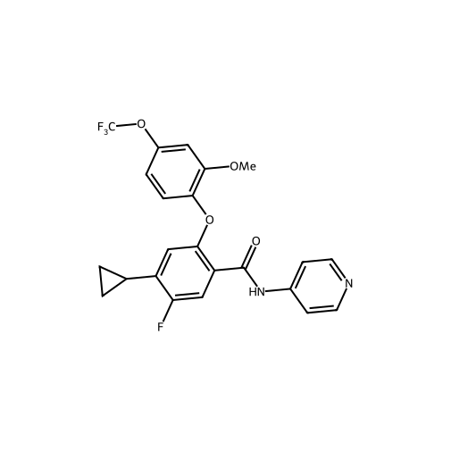 COc1cc(OC(F)(F)F)ccc1Oc1cc(C2CC2)c(F)cc1C(=O)Nc1ccncc1